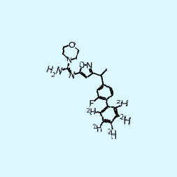 [2H]c1c([2H])c([2H])c(-c2ccc(C(C)c3cc(N=C(N)N4CCOCC4)on3)cc2F)c([2H])c1[2H]